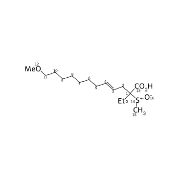 CCC(C/C=C/CCCCCCCOC)(C(=O)O)[S+](C)[O-]